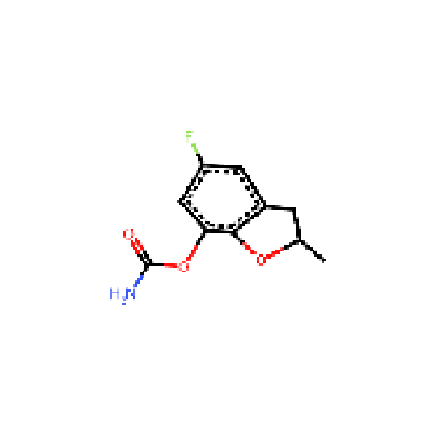 CC1Cc2cc(F)cc(OC(N)=O)c2O1